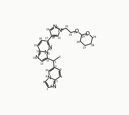 CC(c1ccc2nccn2c1)c1cnc2ccc(-c3cnn(CCOC4CCCCO4)c3)nn12